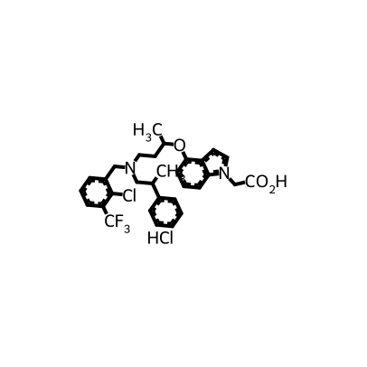 CC(CCN(Cc1cccc(C(F)(F)F)c1Cl)CC(C)c1ccccc1)Oc1cccc2c1ccn2CC(=O)O.Cl